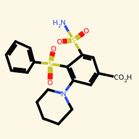 NS(=O)(=O)c1cc(C(=O)O)cc(N2CCCCC2)c1S(=O)(=O)c1ccccc1